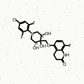 O=C1CCc2c(OCC3(O)[C@H](O)CN(c4c(F)cc(Cl)cc4F)C[C@H]3O)ccc(F)c2N1